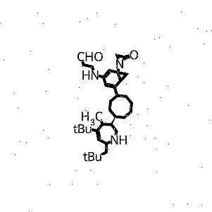 CC1C(C(C)(C)C)=CC(CC(C)(C)C)NCC1[C@@H]1CCCCC(C2=CC(NCCC=O)=CC3(N4CC4=O)CC23)CC1